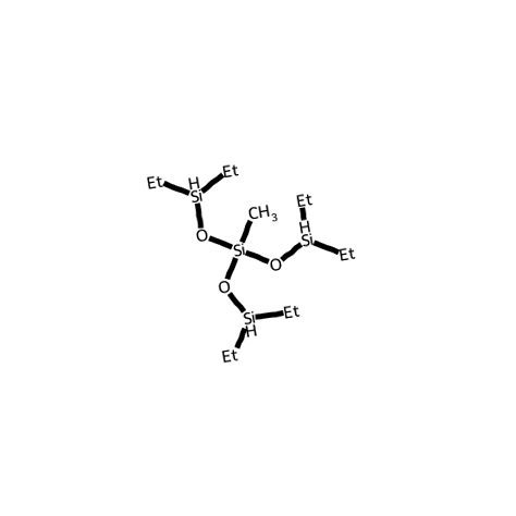 CC[SiH](CC)O[Si](C)(O[SiH](CC)CC)O[SiH](CC)CC